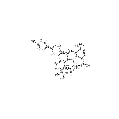 Cc1ccc(C(=O)O)cc1/N=C(/N1CCN(c2ccc(F)cc2)CC1)N(CCC(=O)O)c1cccc(C(F)(F)F)c1